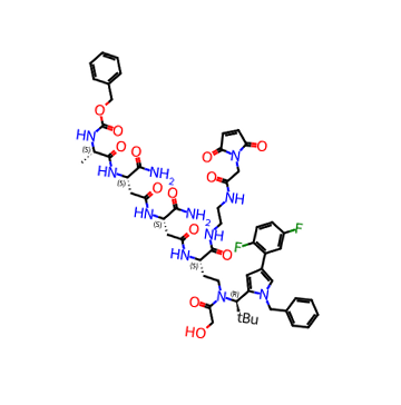 C[C@H](NC(=O)OCc1ccccc1)C(=O)N[C@@H](CC(=O)N[C@@H](CC(=O)N[C@@H](CCN(C(=O)CO)[C@@H](c1cc(-c2cc(F)ccc2F)cn1Cc1ccccc1)C(C)(C)C)C(=O)NCCNC(=O)CN1C(=O)C=CC1=O)C(N)=O)C(N)=O